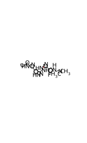 CN(C)CCNc1cc(F)cc(-c2cncc3c2NC(c2n[nH]c4ccc(-c5cncc(NC(=O)C6CCCC6)c5)cc24)N3)c1